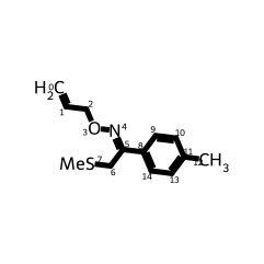 C=CCO/N=C(\CSC)c1ccc(C)cc1